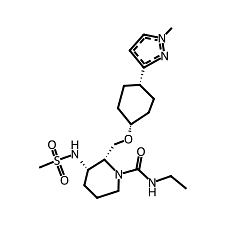 CCNC(=O)N1CCC[C@H](NS(C)(=O)=O)[C@@H]1CO[C@H]1CC[C@@H](c2ccn(C)n2)CC1